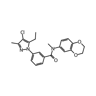 CCc1c(Cl)c(C)nn1-c1cccc(C(=O)N(C)c2ccc3c(c2)OCCO3)c1